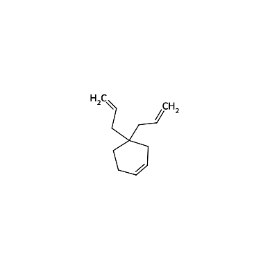 C=CCC1(CC=C)CC=CCC1